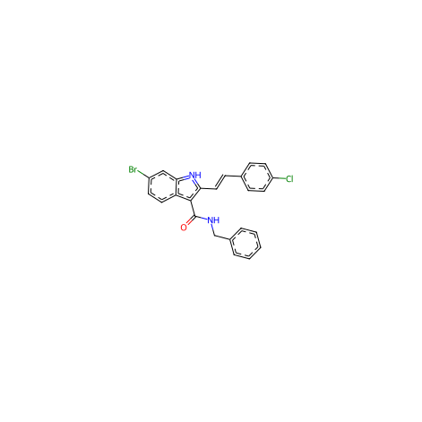 O=C(NCc1ccccc1)c1c(C=Cc2ccc(Cl)cc2)[nH]c2cc(Br)ccc12